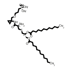 CCCCCCCCCCCC(=O)OC[C@H](CSC[C@H](N)C(=O)NC1(COCCC[PH](O)(O)O)CC1)OC(=O)CCCCCCCCCCC